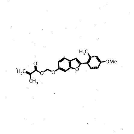 C=C(C)C(=O)OCOc1ccc2cc(-c3ccc(OC)cc3C)oc2c1